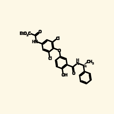 CCOC(=O)C(=O)Nc1cc(Cl)c(Oc2ccc(O)c(C(=O)N[C@H](C)c3ccccc3)c2)c(Cl)c1